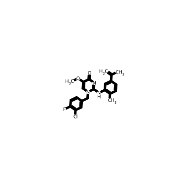 C=C(C)c1ccc(C)c(Nc2nc(=O)c(OC)cn2Cc2ccc(F)c(Cl)c2)c1